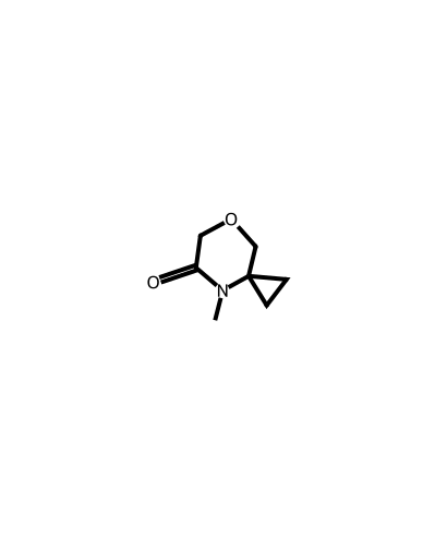 CN1C(=O)COCC12CC2